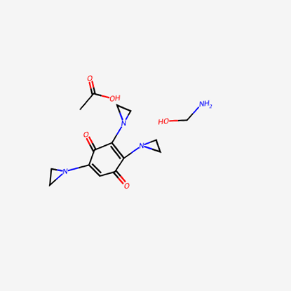 CC(=O)O.NCO.O=C1C=C(N2CC2)C(=O)C(N2CC2)=C1N1CC1